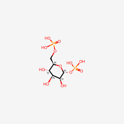 O=P(O)(O)OC[C@H]1O[C@H](OP(=O)(O)O)[C@@H](O)[C@@H](O)[C@@H]1O